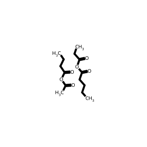 CCCC(=O)OC(C)=O.CCCCC(=O)OC(=O)CC